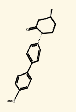 COc1ccc(-c2ccc([C@H]3CC[C@H](C)CC3=O)cc2)cc1